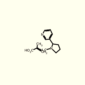 C=C(C)C(=O)O.CN1CCCC1c1cccnc1